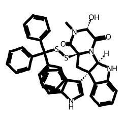 CN1C(=O)[C@@]2(SSC(c3ccccc3)(c3ccccc3)c3ccccc3)C[C@]3(c4c[nH]c5ccccc45)c4ccccc4N[C@@H]3N2C(=O)[C@H]1O